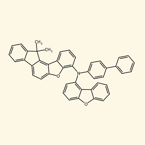 CC1(C)c2ccccc2-c2ccc3oc4c(N(c5ccc(-c6ccccc6)cc5)c5cccc6oc7ccccc7c56)cccc4c3c21